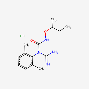 CCC(C)ONC(=O)N(C(=N)N)c1c(C)cccc1C.Cl